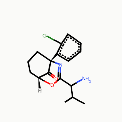 CC(C)C(N)C1=N[C@@]2(c3ccccc3Cl)CCC[C@@H](O1)C2=O